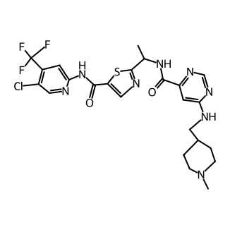 CC(NC(=O)c1cc(NCC2CCN(C)CC2)ncn1)c1ncc(C(=O)Nc2cc(C(F)(F)F)c(Cl)cn2)s1